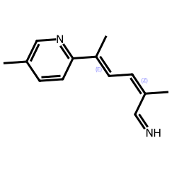 C/C(C=N)=C/C=C(\C)c1ccc(C)cn1